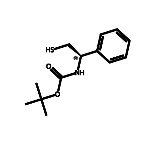 CC(C)(C)OC(=O)N[C@@H](CS)c1ccccc1